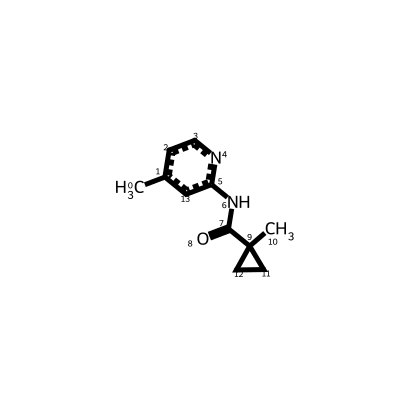 Cc1ccnc(NC(=O)C2(C)CC2)c1